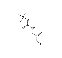 [2H]OC(=O)CNC(=O)OC(C)(C)C